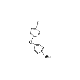 CCCCc1ccc(Oc2ccc(F)cc2)cc1